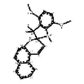 COc1ccc(OC)c2c1N(C)C1(C=Cc3c(ccc4ccccc34)O1)C2(C)C